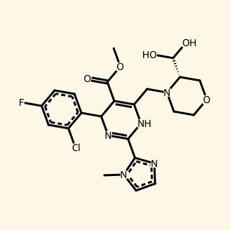 COC(=O)C1=C(CN2CCOC[C@H]2C(O)O)NC(c2nccn2C)=NC1c1ccc(F)cc1Cl